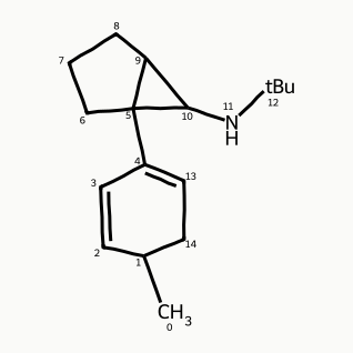 CC1C=CC(C23CCCC2C3NC(C)(C)C)=CC1